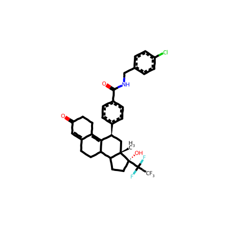 C[C@]12C[C@H](c3ccc(C(=O)NCc4ccc(Cl)cc4)cc3)C3=C4CCC(=O)C=C4CCC3C1CC[C@]2(O)C(F)(F)C(F)(F)F